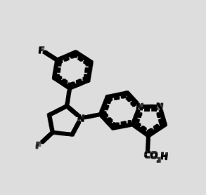 O=C(O)c1cnn2ccc(N3CC(F)CC3c3cccc(F)c3)cc12